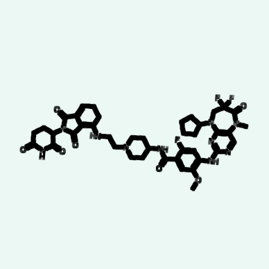 COc1cc(C(=O)NC2CCN(CCNC3=C4C(=O)N(C5CCC(=O)NC5=O)C(=O)C4=CCC3)CC2)c(F)cc1Nc1ncc2c(n1)N(C1CCCC1)CC(F)(F)C(=O)N2C